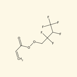 C=CC(=O)OOCC(F)(F)C(F)C(F)(F)F